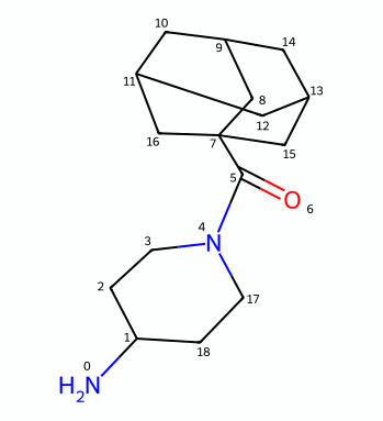 NC1CCN(C(=O)C23CC4CC(CC(C4)C2)C3)CC1